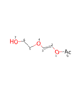 CC(=O)OC=COCCO